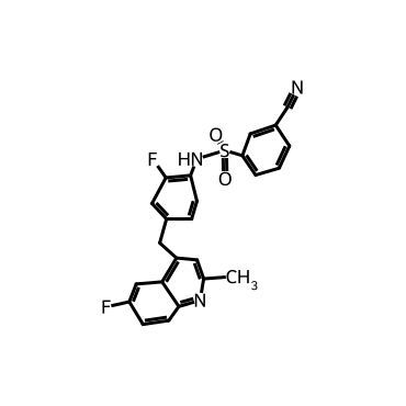 Cc1cc(Cc2ccc(NS(=O)(=O)c3cccc(C#N)c3)c(F)c2)c2cc(F)ccc2n1